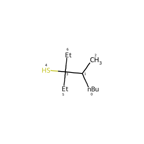 CCCCC(C)C(S)(CC)CC